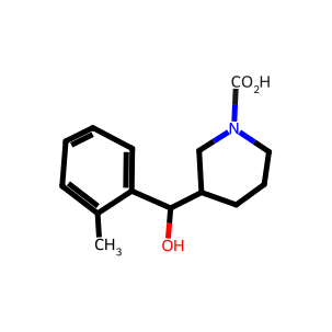 Cc1ccccc1C(O)C1CCCN(C(=O)O)C1